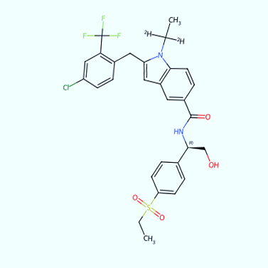 [2H]C([2H])(C)n1c(Cc2ccc(Cl)cc2C(F)(F)F)cc2cc(C(=O)N[C@@H](CO)c3ccc(S(=O)(=O)CC)cc3)ccc21